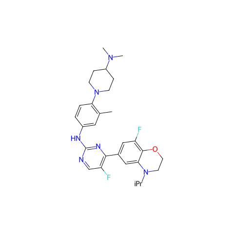 Cc1cc(Nc2ncc(F)c(-c3cc(F)c4c(c3)N(C(C)C)CCO4)n2)ccc1N1CCC(N(C)C)CC1